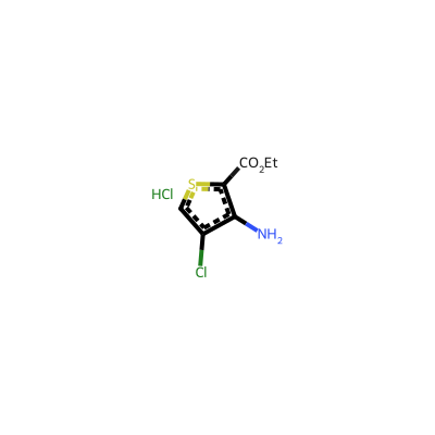 CCOC(=O)c1scc(Cl)c1N.Cl